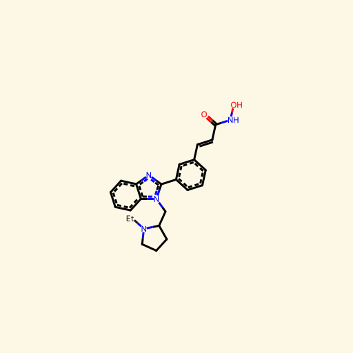 CCN1CCCC1Cn1c(-c2cccc(/C=C/C(=O)NO)c2)nc2ccccc21